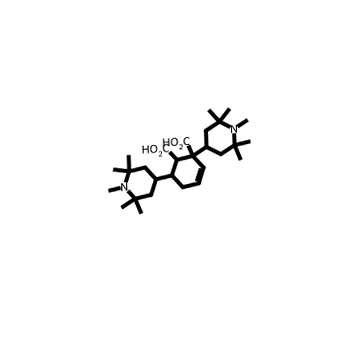 CN1C(C)(C)CC(C2CC=CC(C(=O)O)(C3CC(C)(C)N(C)C(C)(C)C3)C2C(=O)O)CC1(C)C